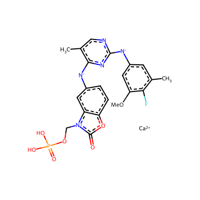 COc1cc([N-]c2ncc(C)c([N-]c3ccc4oc(=O)n(COP(=O)(O)O)c4c3)n2)cc(C)c1F.[Ca+2]